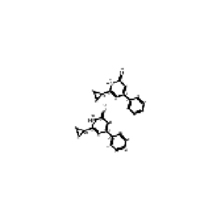 O=c1cc(-c2ccccc2)cc(C2CC2)[nH]1.O=c1cc(-c2ccccc2)cc(C2CC2)[nH]1